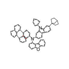 c1ccc(-c2cccc3cccc(-c4ccc(N(c5ccc6c7ccc(C89CCC(CC8)C9)cc7n(-c7ccccc7)c6c5)c5cccc6oc7ccccc7c56)cc4)c23)cc1